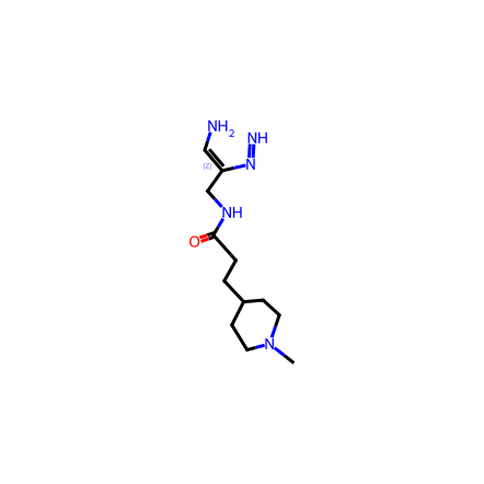 CN1CCC(CCC(=O)NC/C(=C/N)N=N)CC1